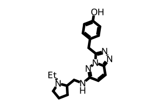 CCN1CCCC1CNc1ccc2nnc(Cc3ccc(O)cc3)n2n1